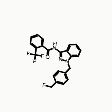 O=C(Nc1nn(Cc2ccc(CF)cc2)c2ccccc12)c1ccccc1C(F)(F)F